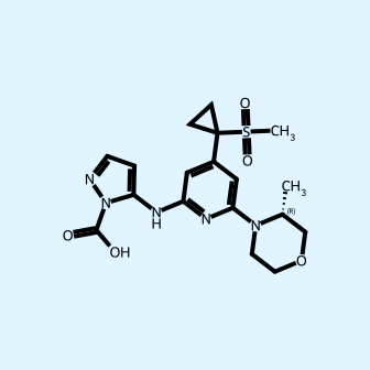 C[C@@H]1COCCN1c1cc(C2(S(C)(=O)=O)CC2)cc(Nc2ccnn2C(=O)O)n1